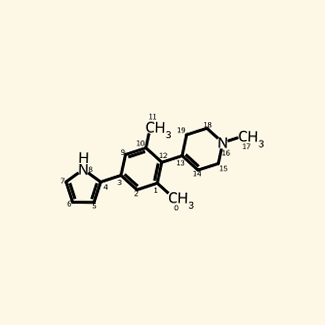 Cc1cc(-c2ccc[nH]2)cc(C)c1C1=CCN(C)CC1